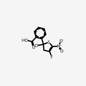 O=C(O)c1ccccc1C1(Cl)CC(F)=C([N+](=O)[O-])S1